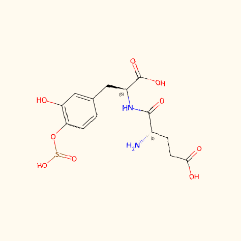 N[C@@H](CCC(=O)O)C(=O)N[C@@H](Cc1ccc(OS(=O)O)c(O)c1)C(=O)O